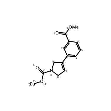 COC(=O)c1cccc(C2=CCN(C(=O)OC(C)(C)C)C2)c1